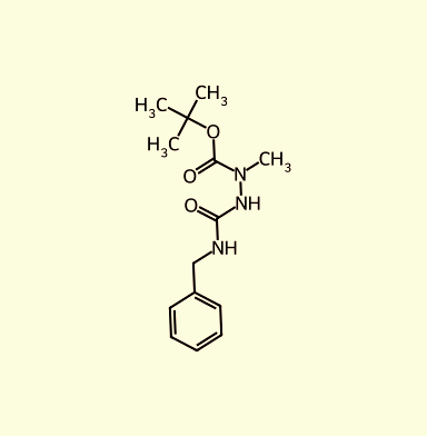 CN(NC(=O)NCc1ccccc1)C(=O)OC(C)(C)C